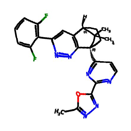 Cc1nnc(-c2nccc([C@]34CC[C@@H](c5cc(-c6c(F)cccc6F)nnc53)C4(C)C)n2)o1